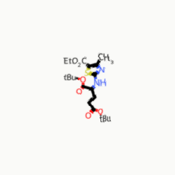 CCOC(=O)c1sc(NC(CCC(=O)OC(C)(C)C)C(=O)OC(C)(C)C)nc1C